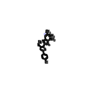 CCSc1cc(-c2ccc(Cl)cc2)sc1-c1nc(/C=C(\N)C(F)(F)F)c(N)n1C